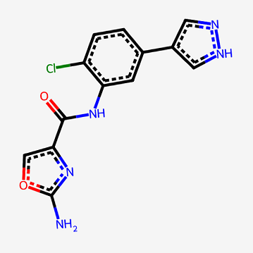 Nc1nc(C(=O)Nc2cc(-c3cn[nH]c3)ccc2Cl)co1